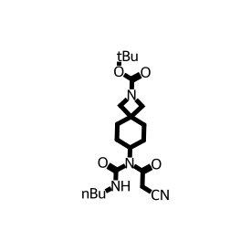 CCCCNC(=O)N(C(=O)CC#N)C1CCC2(CC1)CN(C(=O)OC(C)(C)C)C2